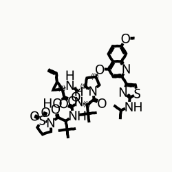 C=CC1C[C@]1(NC(=O)[C@@H]1C[C@@H](Oc2cc(-c3csc(NC(C)C)n3)nc3cc(OC)ccc23)CN1C(=O)[C@@H](NC(=O)NC(C(=O)N1CCCS1(=O)=O)C(C)(C)C)C(C)(C)C)C(=O)O